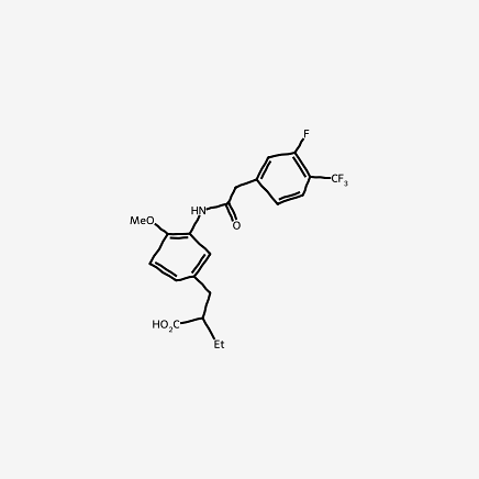 CCC(Cc1ccc(OC)c(NC(=O)Cc2ccc(C(F)(F)F)c(F)c2)c1)C(=O)O